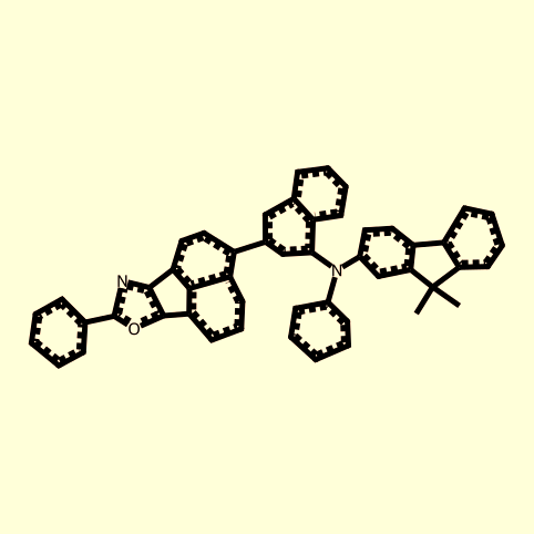 CC1(C)c2ccccc2-c2ccc(N(c3ccccc3)c3cc(-c4ccc5c6c(cccc46)-c4oc(-c6ccccc6)nc4-5)cc4ccccc34)cc21